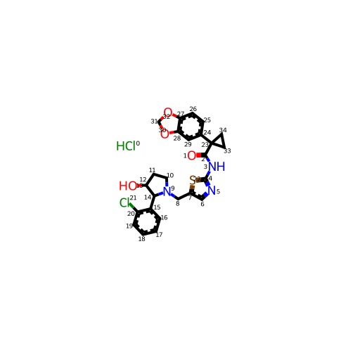 Cl.O=C(Nc1ncc(CN2CCC(O)C2c2ccccc2Cl)s1)C1(c2ccc3c(c2)OCO3)CC1